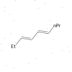 [CH2]CC/C=C/C=C/CC